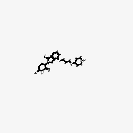 O=C1CCC(N2Cc3c(OCCCOC4CCNCC4)cccc3C2=O)C(=O)N1